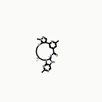 Cc1cc2cc(n1)-c1cnn(C)c1OCCC[C@@H](C)CN1/C(=N/C2=O)Nc2cnc(C)nc21